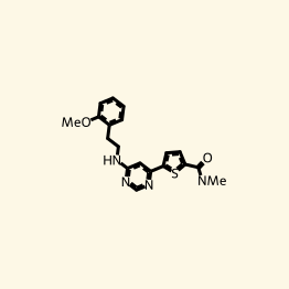 CNC(=O)c1ccc(-c2cc(NCCc3ccccc3OC)ncn2)s1